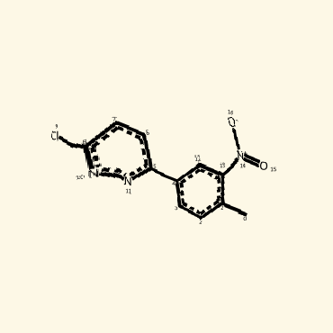 Cc1ccc(-c2ccc(Cl)nn2)cc1[N+](=O)[O-]